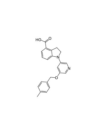 Cc1ccc(COc2cncc(N3CCc4c(C(=O)O)cccc43)c2)cc1